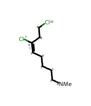 CNCCCC/C=C(/Cl)CCCl